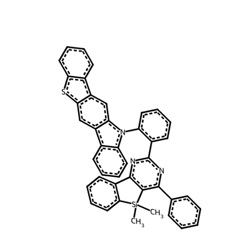 C[Si]1(C)c2ccccc2-c2nc(-c3ccccc3-n3c4ccccc4c4cc5sc6ccccc6c5cc43)nc(-c3ccccc3)c21